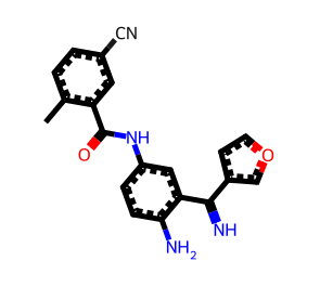 Cc1ccc(C#N)cc1C(=O)Nc1ccc(N)c(C(=N)c2ccoc2)c1